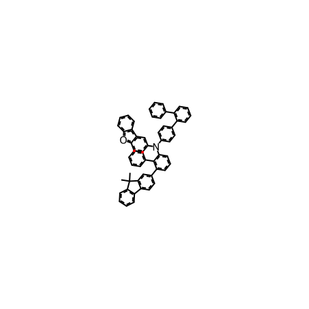 CC1(C)c2ccccc2-c2ccc(-c3cccc(N(c4ccc(-c5ccccc5-c5ccccc5)cc4)c4ccc5oc6ccccc6c5c4)c3-c3ccccc3)cc21